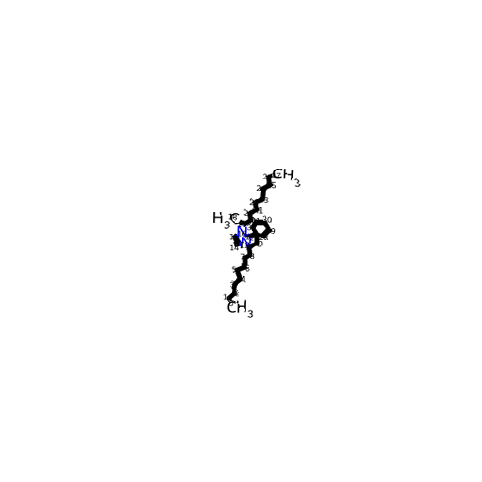 CCCCCCCCCCCC1(c2nccn2C(C)CCCCCCCCC)C=CC=CC1